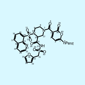 CCCCCc1ccc(C(=O)N2CCN(S(=O)(=O)c3cccc4cccnc34)C(C(=O)NS(=O)(=O)Cc3ccco3)C2)c(=O)o1